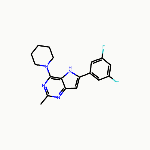 Cc1nc(N2CCCCC2)c2[nH]c(-c3cc(F)cc(F)c3)cc2n1